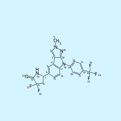 Cn1cc2c3cc(C4CC(F)(F)C(=O)N4)ccc3n(-c3ccc(C(F)(F)F)cc3)c2n1